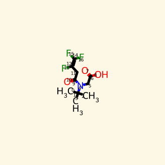 CC(C)(C)N(CC(=O)O)C(=O)CC(F)=C(F)F